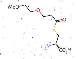 COCCOCCC(=O)SC[C@H](N)C(=O)O